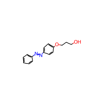 OCCCOc1ccc(/N=N/c2ccccc2)cc1